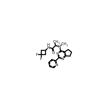 CC(C(=O)NC1CC(F)(F)C1)N(C)c1nc(-c2ccccn2)nc2c1CCC2